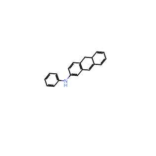 C1=CC2=Cc3cc(Nc4ccccc4)ccc3CC2C=C1